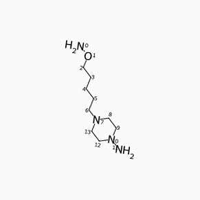 NOCCCCCN1CCN(N)CC1